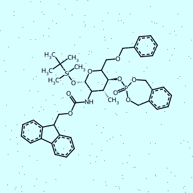 C[C@@H]1C(NC(=O)OCC2c3ccccc3-c3ccccc32)[C@H](O[Si](C)(C)C(C)(C)C)OC(COCc2ccccc2)[C@H]1OP1(=O)OCc2ccccc2CO1